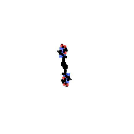 COC(=O)N[C@H](C(=O)N1C[C@@H](C)C[C@H]1c1nc(C)c(C#Cc2ccc3cc(C#Cc4[nH]c([C@@H]5C[C@H](C)CN5C(=O)[C@@H](NC(=O)OC)C(C)C)nc4C)ccc3c2)[nH]1)C(C)C